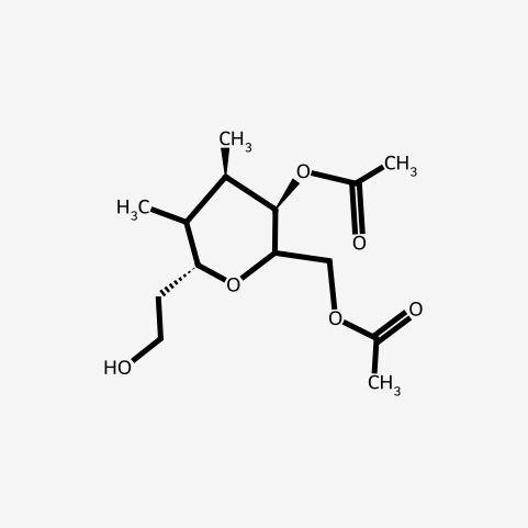 CC(=O)OCC1O[C@H](CCO)C(C)[C@@H](C)[C@H]1OC(C)=O